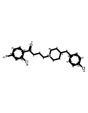 O=C(CCCN1CCC(Cc2ccc(Cl)cc2)CC1)c1ccc(F)cc1Cl